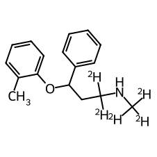 [2H]C([2H])([2H])NC([2H])([2H])CC(Oc1ccccc1C)c1ccccc1